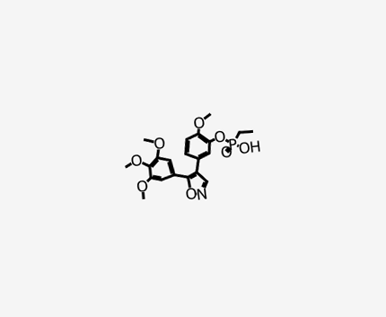 CCP(=O)(O)Oc1cc(-c2cnoc2-c2cc(OC)c(OC)c(OC)c2)ccc1OC